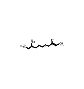 C/C=C(\F)CSCCCC(O)COC